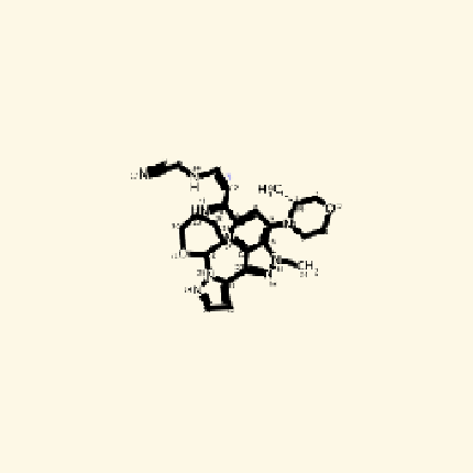 C[C@@H]1COCCN1c1cc(C(=N)/C=C\NCC#N)nc2c(-c3ccnn3C3CCCCO3)nn(C)c12